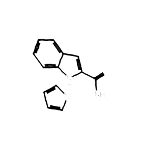 NC(=O)c1cc2ccccc2[nH]1.c1cc[nH]c1